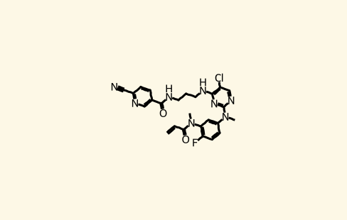 C=CC(=O)N(C)c1cc(N(C)c2ncc(Cl)c(NCCCNC(=O)c3ccc(C#N)nc3)n2)ccc1F